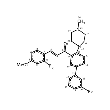 COc1ccc(C=CC(=O)c2cc(-c3cccc(F)c3)ccc2N2CCN(C)CC2)c(F)c1